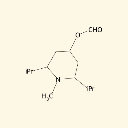 CC(C)C1CC(OC=O)CC(C(C)C)N1C